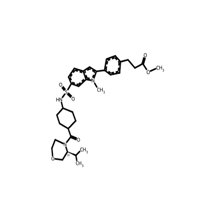 COC(=O)CCc1ccc(-c2cc3ccc(S(=O)(=O)NC4CCC(C(=O)N5CCOC[C@@H]5C(C)C)CC4)cc3n2C)cc1